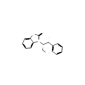 COC[C@H]([C@H](O)c1ccccc1)n1c(=N)[nH]c2ccccc21